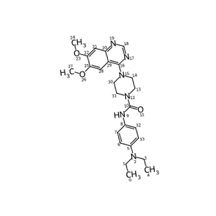 CCN(CC)c1ccc(NC(=O)N2CCN(c3ncnc4cc(OC)c(OC)cc34)CC2)cc1